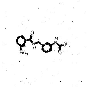 Nc1cccc(C(=O)NCc2cccc(NC(=O)O)c2)c1